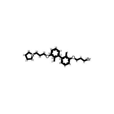 Cc1c(OCCCBr)cccc1-c1cccc(OCCCN2CCCC2)c1C